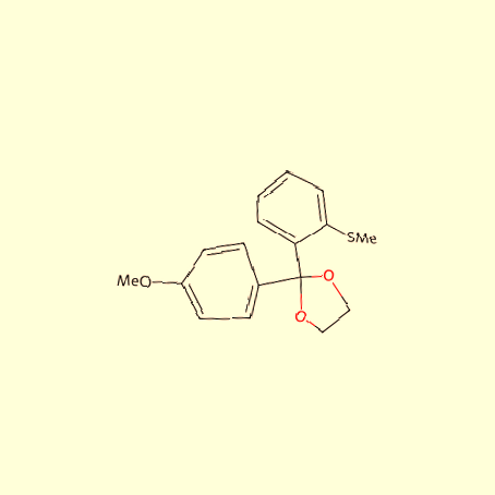 COc1ccc(C2(c3ccccc3SC)OCCO2)cc1